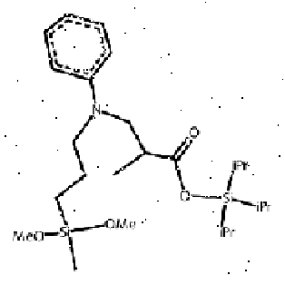 CO[Si](C)(CCCN(CC(C)C(=O)O[Si](C(C)C)(C(C)C)C(C)C)c1ccccc1)OC